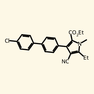 CCOC(=O)c1c(-c2ccc(-c3ccc(Cl)cc3)cc2)c(C#N)c(CC)n1C